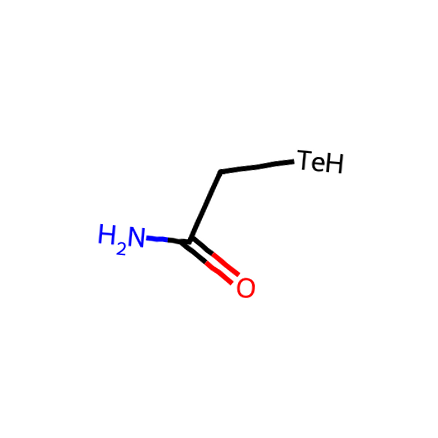 NC(=O)C[TeH]